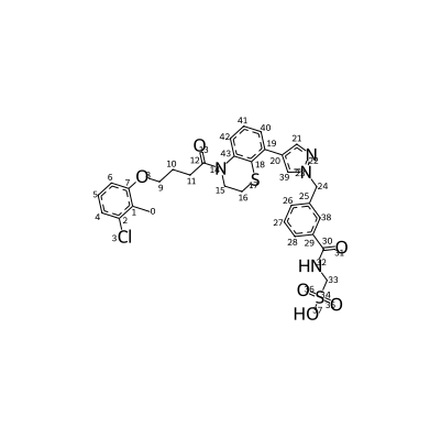 Cc1c(Cl)cccc1OCCCC(=O)N1CCSc2c(-c3cnn(Cc4cccc(C(=O)NCS(=O)(=O)O)c4)c3)cccc21